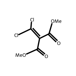 COC(=O)C(C(=O)OC)=C(Cl)Cl